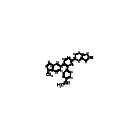 CNc1ccc(-c2nc(N3CCC4CNCC4C3)ncc2-c2ccc3c(cnn3C)c2)cc1